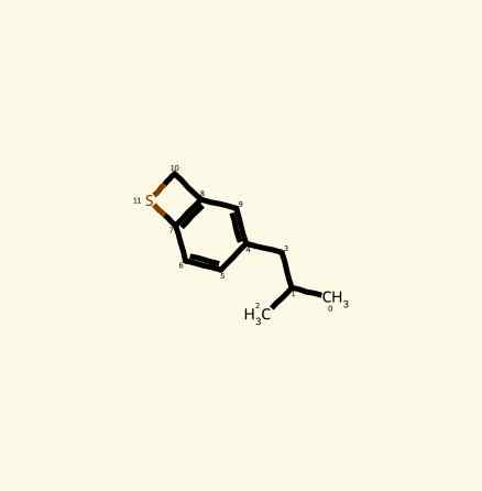 CC(C)Cc1ccc2c(c1)CS2